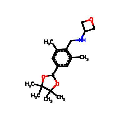 Cc1cc(B2OC(C)(C)C(C)(C)O2)cc(C)c1CNC1COC1